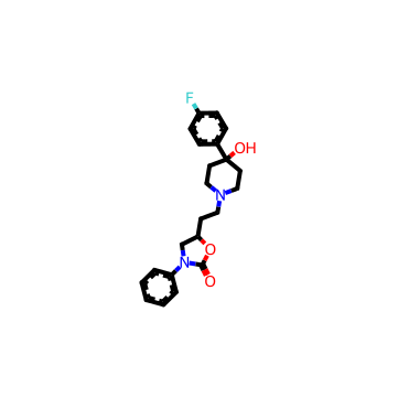 O=C1OC(CCN2CCC(O)(c3ccc(F)cc3)CC2)CN1c1ccccc1